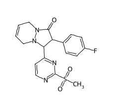 CS(=O)(=O)c1nccc(C2C(c3ccc(F)cc3)C(=O)N3CC=CCN23)n1